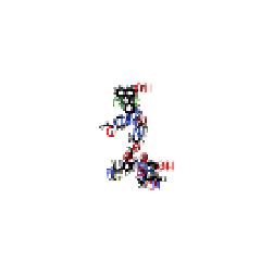 C=CC(=O)N1CCN(c2nc(O[C@H](C)CN3CCC(OCCOc4cc(-c5scnc5C)ccc4CNC(=O)[C@@H]4C[C@@H](O)CN4C(=O)[C@H](c4cc(C)no4)C(C)C)CC3)nc3c(F)c(-c4cc(O)cc5ccccc45)c(Cl)cc23)CC1